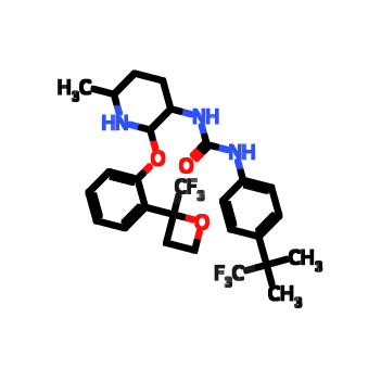 CC1CCC(NC(=O)Nc2ccc(C(C)(C)C(F)(F)F)cc2)C(Oc2ccccc2C2(C(F)(F)F)CCO2)N1